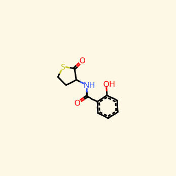 O=C(NC1CCSC1=O)c1ccccc1O